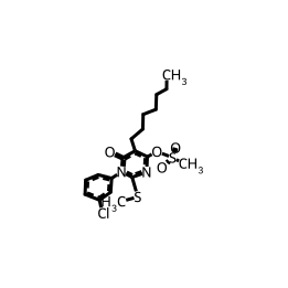 CCCCCCCc1c(OS(C)(=O)=O)nc(SC)n(-c2cccc(Cl)c2)c1=O